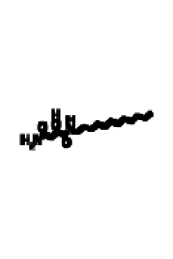 CCCCCCCCCCCCNC(=O)C(O)CC(N)=O